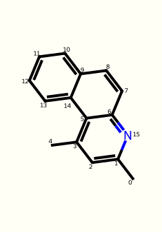 Cc1cc(C)c2c(ccc3ccccc32)n1